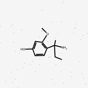 CCC(C)(N)c1ccc(O)cc1OC